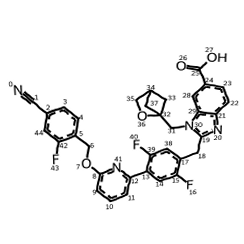 N#Cc1ccc(COc2cccc(-c3cc(F)c(Cc4nc5ccc(C(=O)O)cc5n4CC45CC(CO4)C5)cc3F)n2)c(F)c1